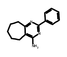 Nc1nc(-c2ccccc2)nc2c1CCCCC2